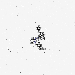 CC(C)(C)OC(=O)CC(=O)C/C=C1\CCCC[C@@]1(C)/C=C/C=C/[C@H](O)C1(CCCc2ccccc2)CCC1